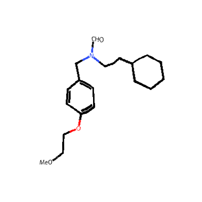 COCCOc1ccc(CN(C=O)CCC2CCCCC2)cc1